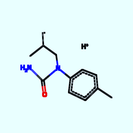 [CH2]C(C)CN(C(N)=O)c1ccc(C)cc1.[H+]